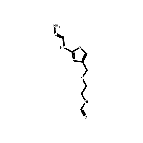 NN=CNc1nc(CSCCNC=O)cs1